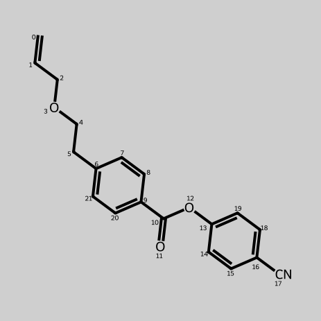 C=CCOCCc1ccc(C(=O)Oc2ccc(C#N)cc2)cc1